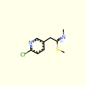 C/N=C(\Cc1ccc(Cl)nc1)SC